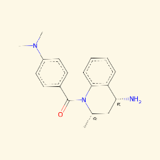 C[C@H]1C[C@@H](N)c2ccccc2N1C(=O)c1ccc(N(C)C)cc1